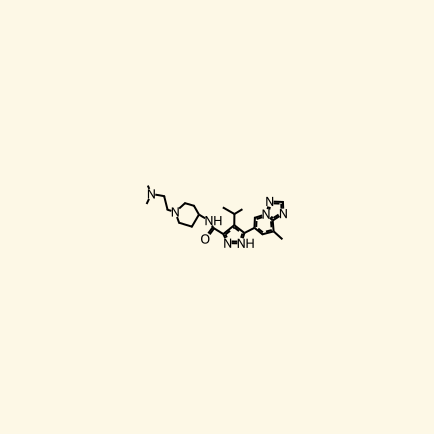 Cc1cc(-c2[nH]nc(C(=O)NC3CCN(CCN(C)C)CC3)c2C(C)C)cn2ncnc12